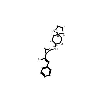 CCC(=Cc1ccccc1)C1CC1NC1CCC2(CC1)OCCO2